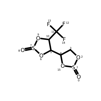 O=S1OCC(C2OS(=O)OC2C(F)(F)F)O1